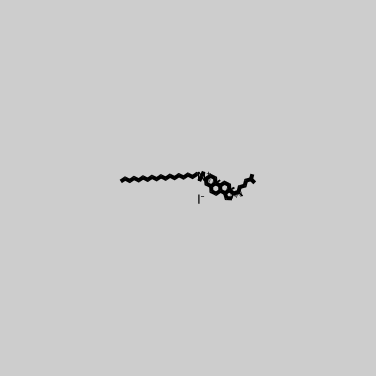 CCCCCCCCCCCCCCCCCC[N+](C)(C)[C@H]1CC[C@@]2(C)C(CCC3C2CC[C@@]2(C)C3CC[C@@H]2[C@H](C)CCCC(C)C)C1.[I-]